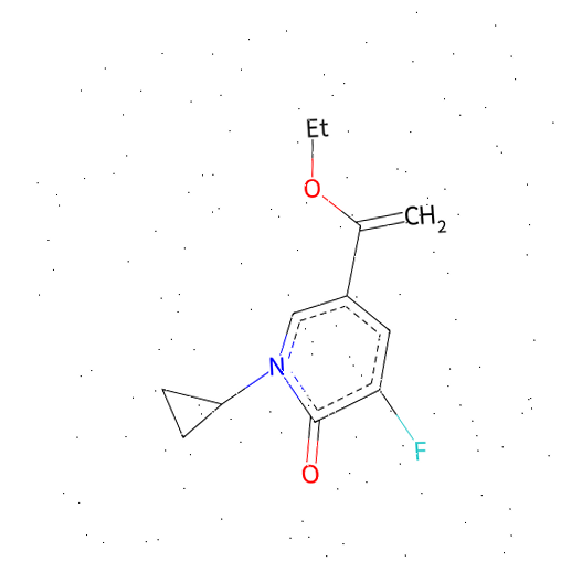 C=C(OCC)c1cc(F)c(=O)n(C2CC2)c1